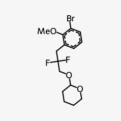 COc1c(Br)cccc1CC(F)(F)COC1CCCCO1